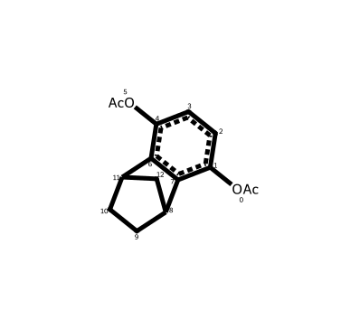 CC(=O)Oc1ccc(OC(C)=O)c2c1C1CCC2C1